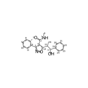 CNC(=O)c1c(-c2ccccc2)noc1C(C)C(O)c1ccccc1